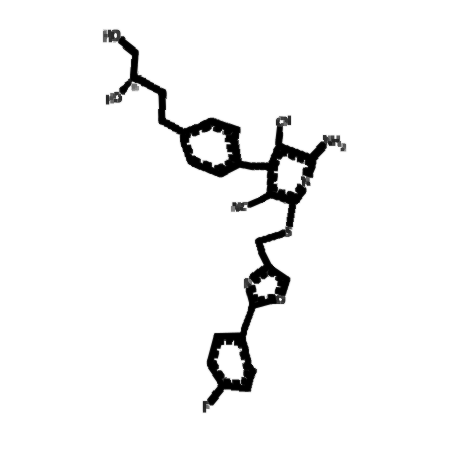 N#Cc1c(N)nc(SCc2coc(-c3ccc(F)cc3)n2)c(C#N)c1-c1ccc(CC[C@@H](O)CO)cc1